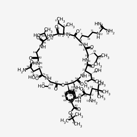 CC[C@H](C)C1NC(=O)[C@@H](CCCNC(=N)N)NC(=O)[C@H](CC(C)C)NC(=O)[C@H]([C@H](O)C(C)C)NC(=O)[C@@H](NC(=O)[C@H](CC(=O)OC(C)(C)C)NC(=O)[C@H](N)CC(C)(C)C)[C@@H](c2ccccc2)OC(=O)[C@H](CO)NC(=O)[C@H]([C@H](O)C(N)=O)NC(=O)CNC(=O)[C@H]([C@H](C)O)NC1=O